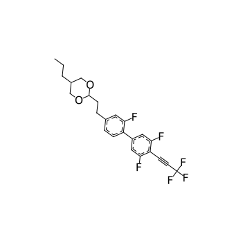 CCCC1COC(CCc2ccc(-c3cc(F)c(C#CC(F)(F)F)c(F)c3)c(F)c2)OC1